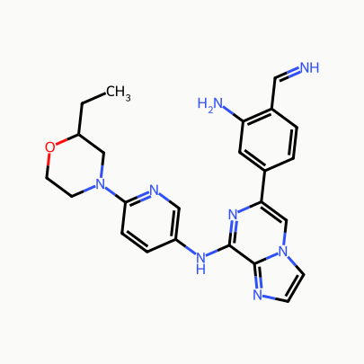 CCC1CN(c2ccc(Nc3nc(-c4ccc(C=N)c(N)c4)cn4ccnc34)cn2)CCO1